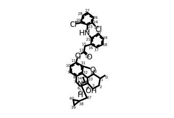 CC1CC[C@@]2(O)[C@H]3Cc4ccc(OC(=O)Cc5ccccc5Nc5c(Cl)cccc5Cl)c5c4[C@@]2(CCN3CC2CC2)C1O5